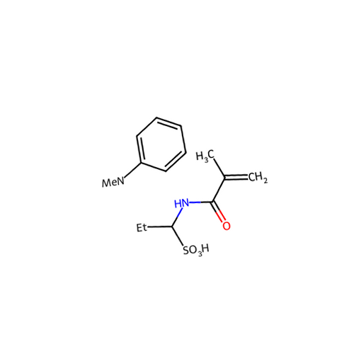 C=C(C)C(=O)NC(CC)S(=O)(=O)O.CNc1ccccc1